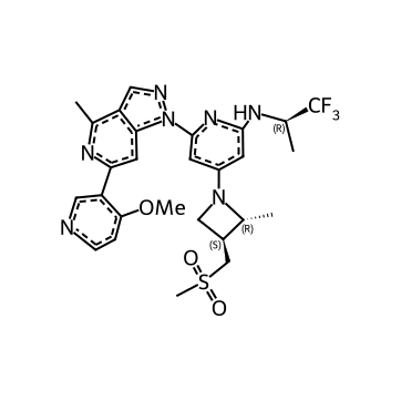 COc1ccncc1-c1cc2c(cnn2-c2cc(N3C[C@H](CS(C)(=O)=O)[C@H]3C)cc(N[C@H](C)C(F)(F)F)n2)c(C)n1